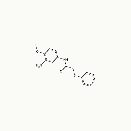 COc1ccc(NC(=O)CSc2ccccc2)cc1N